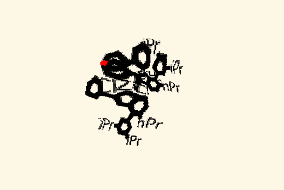 CCCc1ccc2c(c1-c1cc(C(C)C)cc(C(C)C)c1)C=C(c1ccccc1)[CH]2[Zr]([Cl])([Cl])([c]1cccc2c1[SiH2]c1ccccc1-2)[CH]1C(c2ccccc2)=Cc2c1ccc(CCC)c2-c1cc(C(C)C)cc(C(C)C)c1